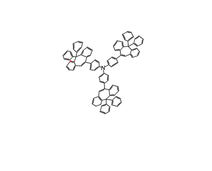 C1=CC2=C(CC1)C(c1ccccc1)(c1ccccc1)c1ccccc1C(c1ccc(N(c3ccc(C4=Cc5ccccc5C(c5ccccc5)(c5ccccc5)c5ccccc54)cc3)c3ccc(C4=Cc5ccccc5C(c5ccccc5)(c5ccccc5)c5ccccc54)cc3)cc1)=C2